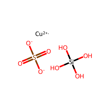 O=S(=O)([O-])[O-].O[Si](O)(O)O.[Cu+2]